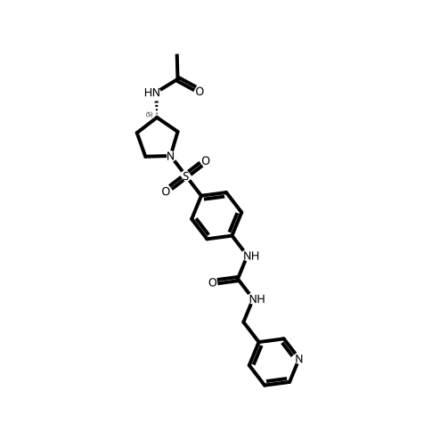 CC(=O)N[C@H]1CCN(S(=O)(=O)c2ccc(NC(=O)NCc3cccnc3)cc2)C1